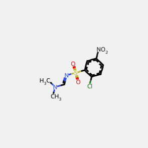 CN(C)C=NS(=O)(=O)c1cc([N+](=O)[O-])ccc1Cl